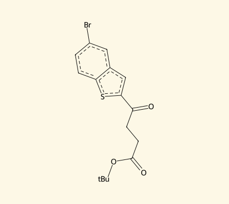 CC(C)(C)OC(=O)CCC(=O)c1cc2cc(Br)ccc2s1